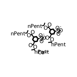 CCCCCC(C)OC(=O)c1cc(C(=O)OC(C)CCCCC)cc(S(=O)(=O)[O-])c1.CCCCCC(C)OC(=O)c1cc(C(=O)OC(C)CCCCC)cc(S(=O)(=O)[O-])c1.[Ca+2]